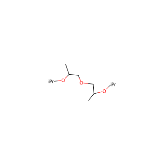 CC(C)OC(C)COCC(C)OC(C)C